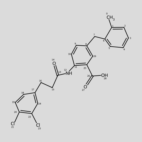 Cc1ccccc1Cc1ccc(NC(=O)CCc2ccc(Cl)c(Cl)c2)c(C(=O)O)c1